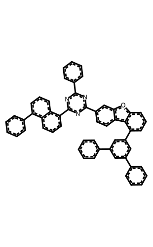 c1ccc(-c2cc(-c3ccccc3)cc(-c3cccc4oc5cc(-c6nc(-c7ccccc7)nc(-c7cccc8c(-c9ccccc9)cccc78)n6)ccc5c34)c2)cc1